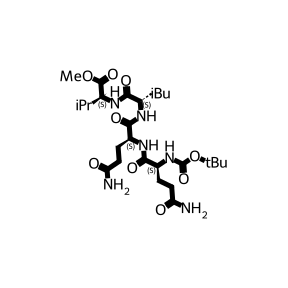 CCC(C)[C@H](NC(=O)[C@H](CCC(N)=O)NC(=O)[C@H](CCC(N)=O)NC(=O)OC(C)(C)C)C(=O)N[C@H](C(=O)OC)C(C)C